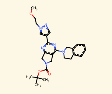 COCCn1cc(-c2nc3c(c(N4CCc5ccccc5C4)n2)CN(C(=O)OC(C)(C)C)C3)cn1